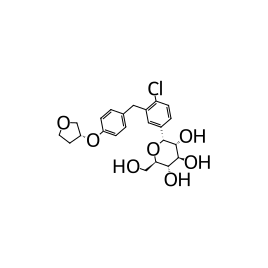 OC[C@H]1O[C@H](c2ccc(Cl)c(Cc3ccc(O[C@@H]4CCOC4)cc3)c2)[C@H](O)[C@@H](O)[C@@H]1O